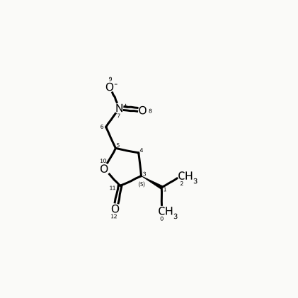 CC(C)[C@@H]1CC(C[N+](=O)[O-])OC1=O